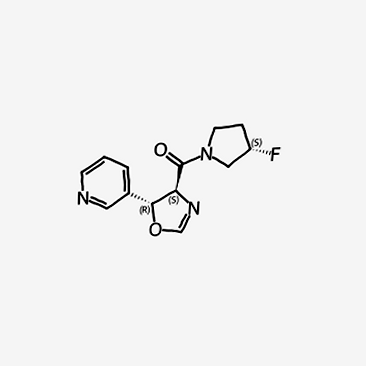 O=C([C@H]1N=CO[C@@H]1c1cccnc1)N1CC[C@H](F)C1